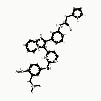 COc1ccc(Nc2nccc(-c3c(-c4cccc(NC(=O)Cc5cccs5)c4)nc4ccccn34)n2)cc1CN(C)C